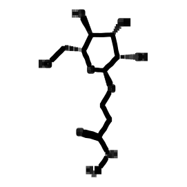 NNC(=O)CCO[C@H]1O[C@H](CO)[C@@H](O)[C@H](O)[C@@H]1O